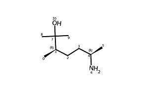 C[C@H](CC[C@@H](C)N)C(C)(C)O